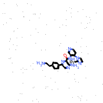 CC(C)c1nccn1-c1ccncc1NC(=O)c1nc(-c2ccc(CCN)cc2)cnc1N